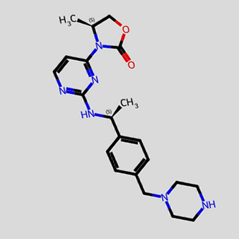 C[C@H](Nc1nccc(N2C(=O)OC[C@@H]2C)n1)c1ccc(CN2CCNCC2)cc1